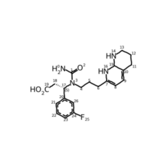 NC(=O)N(CCCC1=CC=C2CCCNC2N1)[C@@H](CC(=O)O)c1cccc(F)c1